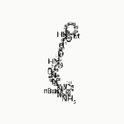 CCCCc1nc2c(N)nc3ccccc3c2n1CCN1CCN(C(=O)CCC(=O)NCCOCCOCCC(=O)NC2CCCCCCC(CC)C2)CC1